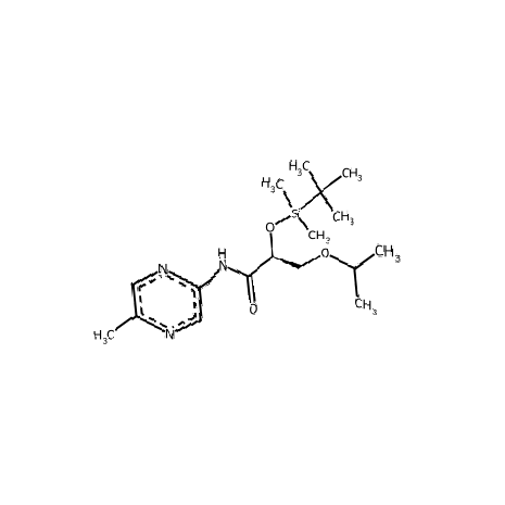 Cc1cnc(NC(=O)[C@H](COC(C)C)O[Si](C)(C)C(C)(C)C)cn1